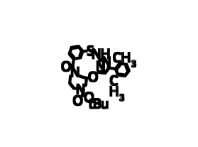 Cc1cccc(C)c1-c1cc2nc(n1)NSc1cccc(c1)C(=O)N1CCCN(C(=O)OC(C)(C)C)CC(C1)O2